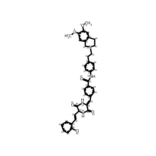 COc1cc2c(cc1OC)CN(CCc1ccc(NC(=O)c3ccc(C=C4NC(=O)C(C=Cc5ccccc5Cl)NC4=O)cc3)cc1)CC2